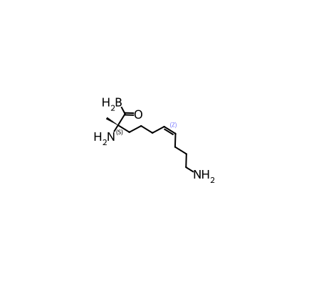 BC(=O)[C@@](C)(N)CCC/C=C\CCCN